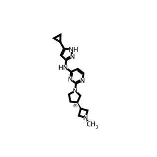 CN1CC([C@H]2CCN(c3nccc(Nc4cc(C5CC5)[nH]n4)n3)C2)C1